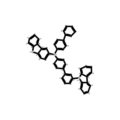 c1ccc(-c2ccc(N(c3ccc(-c4cccc(-n5c6ccccc6c6ccccc65)c4)cc3)c3ccc4sc5ccccc5c4c3)cc2)cc1